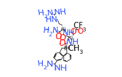 C[C@@](Cc1ccc(C(=N)N)cc1)(C(=O)N[C@@H](COC(=O)C(F)(F)F)C(=O)N[C@@H](CCCNC(=N)N)C(N)=O)c1ccccc1